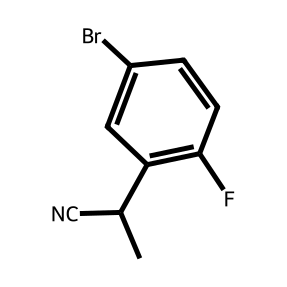 CC(C#N)c1cc(Br)ccc1F